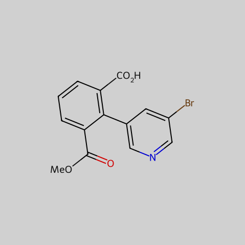 COC(=O)c1cccc(C(=O)O)c1-c1cncc(Br)c1